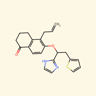 C=CCc1c(OC(Cc2cccs2)c2ncc[nH]2)ccc2c1CCCC2=O